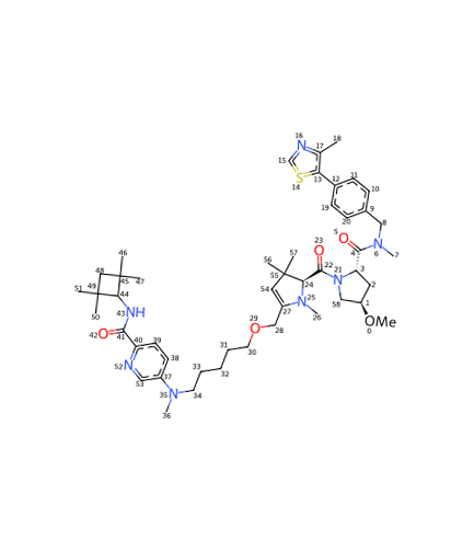 CO[C@@H]1C[C@@H](C(=O)N(C)Cc2ccc(-c3scnc3C)cc2)N(C(=O)[C@H]2N(C)C(COCCCCCN(C)c3ccc(C(=O)NC4C(C)(C)CC4(C)C)nc3)=CC2(C)C)C1